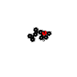 c1ccc(-c2ccccc2-c2cccc3sc4cccc(-n5c6ccccc6c6ccc(-n7c8ccccc8c8cc(-n9c%10ccccc%10c%10ccccc%109)ccc87)cc65)c4c23)cc1